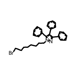 BrCCCCCCCCn1nc(-c2ccccc2)c(-c2ccccc2)c1-c1ccccc1